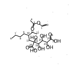 C=COC(C)=O.CCCCC(CC)CC(O)(C(=O)O)C(O)C(O)C(O)C(=O)O